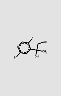 CC(O)(CO)c1cc(Br)ncc1F